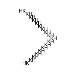 [KH].[KH].[KH].[KH].[KH].[KH].[KH].[KH].[KH].[KH].[KH].[KH].[KH].[KH].[KH].[KH].[KH].[KH]